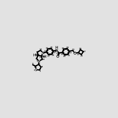 CC1SCCC1N1C[C@H]2CCN(c3ccc(NC(=O)c4ccc(COC5CCC5)cc4)cc3)[C@H]2C1